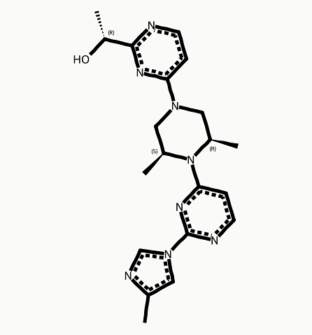 Cc1cn(-c2nccc(N3[C@H](C)CN(c4ccnc([C@@H](C)O)n4)C[C@@H]3C)n2)cn1